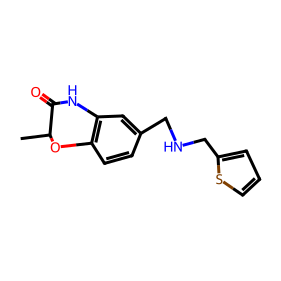 CC1Oc2ccc(CNCc3cccs3)cc2NC1=O